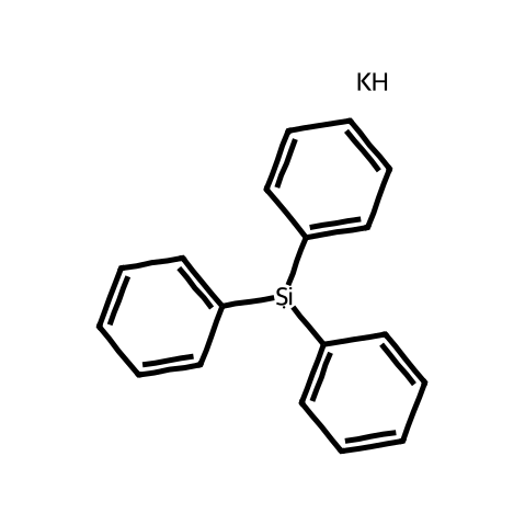 [KH].c1ccc([Si](c2ccccc2)c2ccccc2)cc1